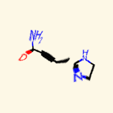 C1=NCCN1.CC#CC(N)=O